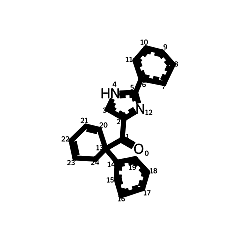 O=C(c1c[nH]c(-c2ccccc2)n1)C1(c2ccccc2)C=CC=CC1